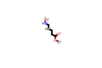 CCOC(=O)CCBCNO